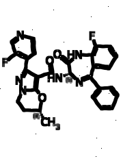 C[C@@H]1CCn2nc(-c3ccncc3F)c(C(=O)N[C@H]3N=C(c4ccccc4)c4cccc(F)c4NC3=O)c2O1